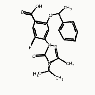 Cc1nn(-c2cc(OC(C)c3ccccc3)c(C(=O)O)cc2F)c(=O)n1C(C)C